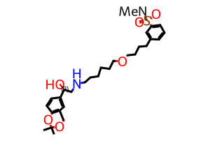 CNS(=O)(=O)c1cccc(CCCCOCCCCCCNC[C@H](O)c2ccc3c(c2)COC(C)(C)O3)c1